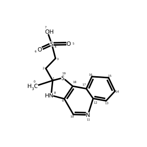 CC1(CCS(=O)(=O)O)Nc2cnc3ccccc3c2S1